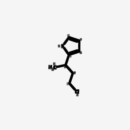 CC(CCCl)c1cccs1